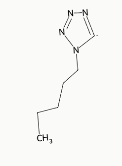 CCCCCn1[c]nnn1